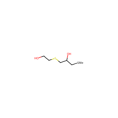 CSCC(O)CSCCO